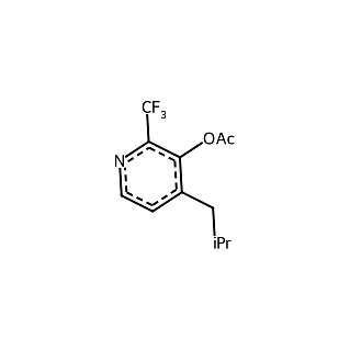 CC(=O)Oc1c(CC(C)C)ccnc1C(F)(F)F